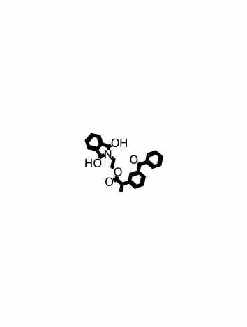 CC(C(=O)OCCN1C(O)c2ccccc2C1O)c1cccc(C(=O)c2ccccc2)c1